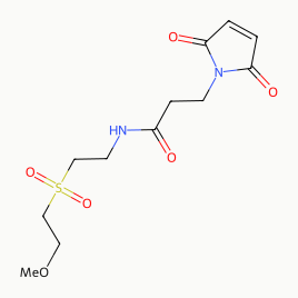 COCCS(=O)(=O)CCNC(=O)CCN1C(=O)C=CC1=O